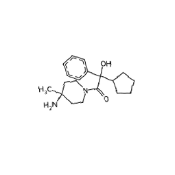 CC1(N)CCN(C(=O)C(O)(c2ccccc2)C2CCCC2)CC1